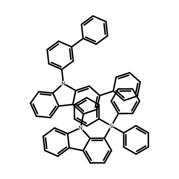 c1ccc(-c2cccc(-n3c4ccccc4c4c(-n5c6ccccc6c6cccc([Si](c7ccccc7)(c7ccccc7)c7ccccc7)c65)cc(-c5ccccc5)cc43)c2)cc1